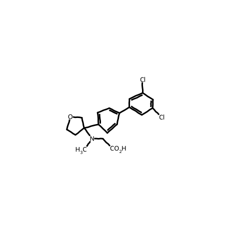 CN(CC(=O)O)C1(c2ccc(-c3cc(Cl)cc(Cl)c3)cc2)CCOC1